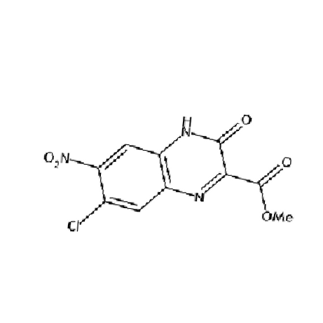 COC(=O)c1nc2cc(Cl)c([N+](=O)[O-])cc2[nH]c1=O